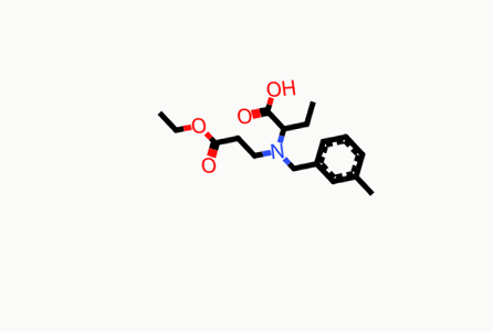 CCOC(=O)CCN(Cc1cccc(C)c1)C(CC)C(=O)O